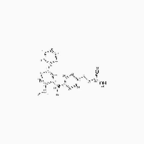 COc1ncc(-c2ccccc2)cc1N(C)c1ccc(CCC(=O)O)cc1